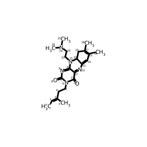 C/C=C(\C)CCN1C(=O)N=C2C(=NC3=CC(C)=C(C)CC3N2CCN(C)C)C1=O